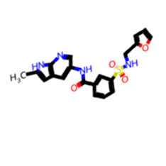 Cc1cc2cc(NC(=O)c3cccc(S(=O)(=O)NCc4ccco4)c3)cnc2[nH]1